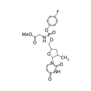 COC(=O)CNP(=O)(OCC1CC(C)C(n2ccc(=O)[nH]c2=O)O1)Oc1ccc(F)cc1